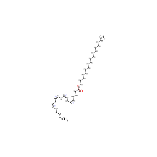 CCCCC/C=C\C/C=C\C/C=C\C/C=C\CCCC(=O)OCCCCCCCCCCCCCCCCCC